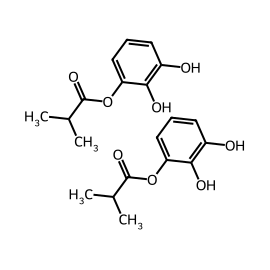 CC(C)C(=O)Oc1cccc(O)c1O.CC(C)C(=O)Oc1cccc(O)c1O